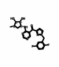 [CH2][C@@H]1C[C@@H](Nc2ncncc2C(=O)c2ccn(Cc3cc(F)ccc3F)n2)[C@H](O)[C@@H]1O